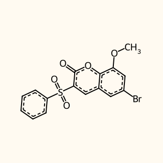 COc1cc(Br)cc2cc(S(=O)(=O)c3ccccc3)c(=O)oc12